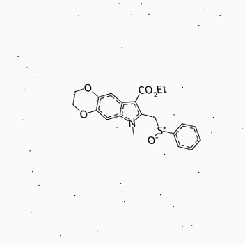 CCOC(=O)c1c(C[S+]([O-])c2ccccc2)n(C)c2cc3c(cc12)OCCO3